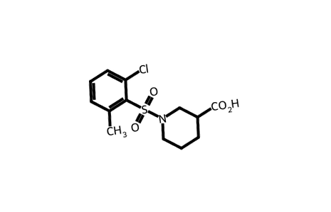 Cc1cccc(Cl)c1S(=O)(=O)N1CCCC(C(=O)O)C1